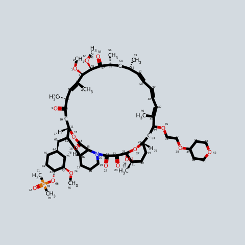 CO[C@@H]1/C(C)=C/[C@@H](C)C(=O)C[C@@H]2OC(=O)C3[C@H](CCCN3C(=O)C(=O)[C@]3(O)O[C@@H](CC[C@H]3C)CC(OCCOC3CCOCC3)/C(C)=C/C=C/C=C/[C@@H](C)C[C@@H](C)C(=O)[C@@H]1OC)C2C[C@@H]1CC[C@@H](OP(C)(C)=O)[C@H](OC)C1